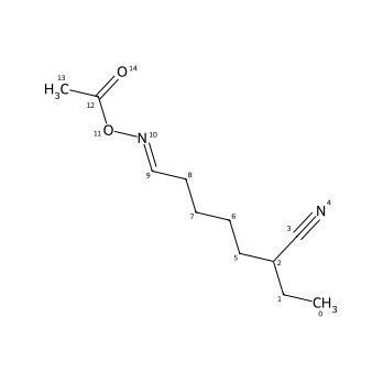 CCC(C#N)CCCCC=NOC(C)=O